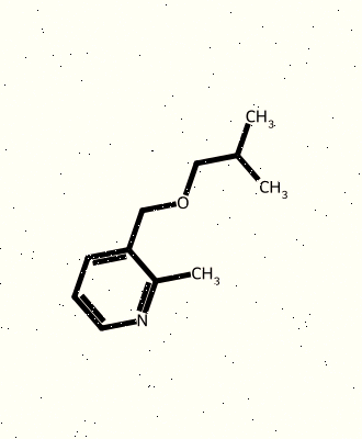 Cc1ncccc1COCC(C)C